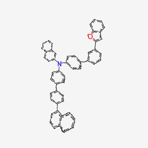 c1cc(-c2ccc(N(c3ccc(-c4ccc(-c5cccc6ccccc56)cc4)cc3)c3ccc4ccccc4c3)cc2)cc(-c2cc3ccccc3o2)c1